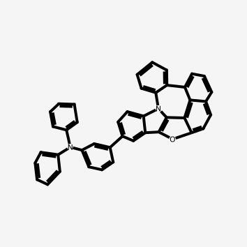 c1ccc(N(c2ccccc2)c2cccc(-c3ccc4c(c3)c3oc5ccc6cccc7c8ccccc8n4c3c5c67)c2)cc1